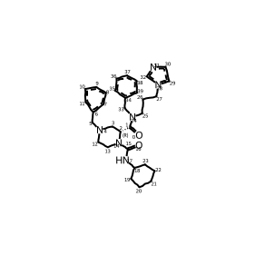 O=C([C@H]1CN(Cc2ccccc2)CCN1C(=O)NC1CCCCC1)N(CCCn1ccnc1)Cc1ccccc1